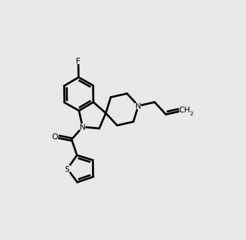 C=CCN1CCC2(CC1)CN(C(=O)c1cccs1)c1ccc(F)cc12